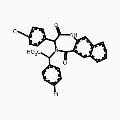 O=C(O)C(c1ccc(Cl)cc1)N1C(=O)c2cc3ccccc3cc2NC(=O)C1c1ccc(Cl)cc1